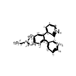 CCCN(CCC)CCC.c1cncc(-c2cccnc2-c2cccnc2)c1